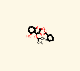 CC(C)Oc1c(OC(=O)c2ccccc2)c(=O)oc2cccc(O)c12